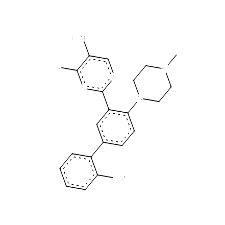 COc1ccccc1-c1ccc(N2CCN(C)CC2)c(-c2ncc(N)c(N)n2)c1